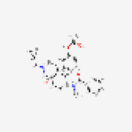 CC(=O)Oc1cccc(C23CCN(CC4CC4)CC2(O)CC[C@@H](N(C)C(=O)c2ccccc2)C3)c1